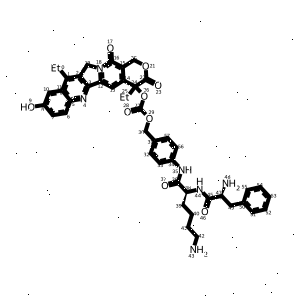 CCc1c2c(nc3ccc(O)cc13)-c1cc3c(c(=O)n1C2)COC(=O)C3(CC)OC(=O)OCc1ccc(NC(=O)[C@H](CCCCN)NC(=O)[C@@H](N)Cc2ccccc2)cc1